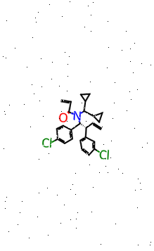 C=CC(=O)N(C(C1CC1)C1CC1)C(c1ccc(Cl)cc1)[C@H](C=C)c1cccc(Cl)c1